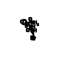 NC(=O)c1c(NC(=O)NCCc2cccs2)sc2c1CCOC2